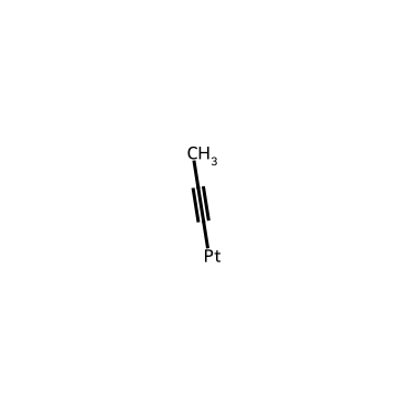 CC#[C][Pt]